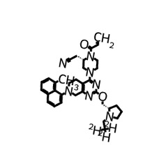 [2H]C([2H])([2H])CN1CCC[C@H]1COc1nc2c(c(N3CCN(C(=O)C=C)[C@@H](CC#N)C3)n1)CCN(c1cccc3cccc(C)c13)C2